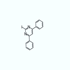 Ic1nc(-c2ccccc2)cc(-c2ccccc2)n1